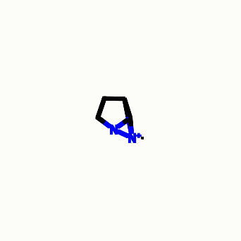 C1CN2C3C1[N+]32